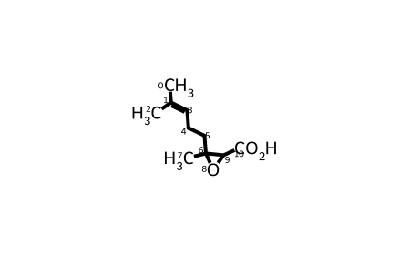 CC(C)=CCCC1(C)OC1C(=O)O